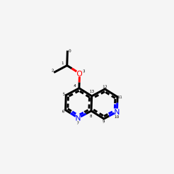 CC(C)Oc1ccnc2cnccc12